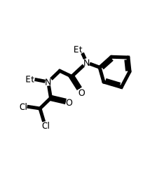 CCN(CC(=O)N(CC)c1ccccc1)C(=O)C(Cl)Cl